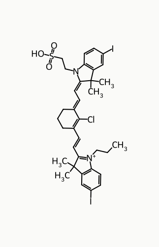 CCC[N+]1=C(/C=C/C2=C(Cl)C(=C/C=C3/N(CCS(=O)(=O)O)c4ccc(I)cc4C3(C)C)/CCC2)C(C)(C)c2cc(I)ccc21